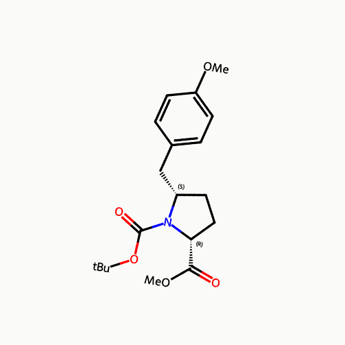 COC(=O)[C@H]1CC[C@@H](Cc2ccc(OC)cc2)N1C(=O)OC(C)(C)C